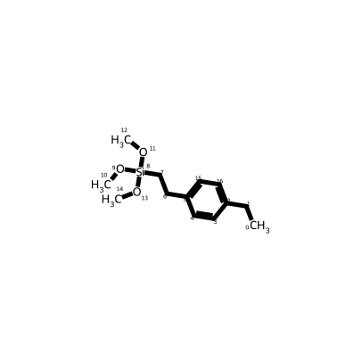 CCc1ccc(CC[Si](OC)(OC)OC)cc1